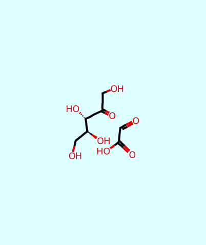 O=C(CO)[C@@H](O)[C@@H](O)CO.O=CC(=O)O